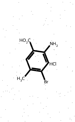 Cc1cc(C(=O)O)c(N)cc1Br.Cl